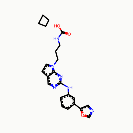 C1CCC1.O=C(O)NCCCn1ccc2cnc(Nc3cccc(-c4cnco4)c3)nc21